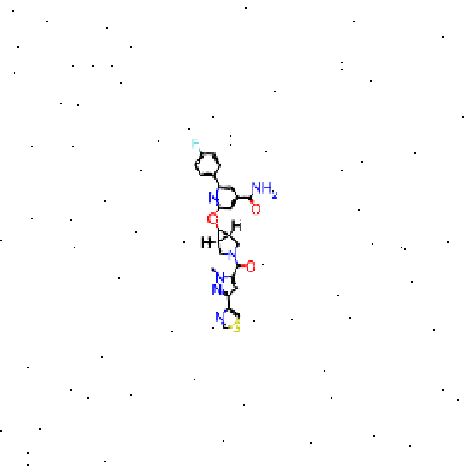 Cn1nc(-c2cscn2)cc1C(=O)N1C[C@@H]2C(Oc3cc(C(N)=O)cc(-c4ccc(F)cc4)n3)[C@@H]2C1